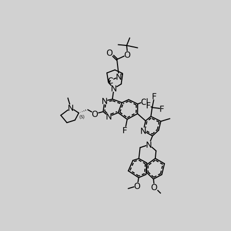 COc1ccc(CN(Cc2ccc(OC)cc2)c2cc(C)c(C(F)(F)F)c(-c3c(Cl)cc4c(N5CC6CCC5CN6C(=O)OC(C)(C)C)nc(OC[C@@H]5CCCN5C)nc4c3F)n2)cc1